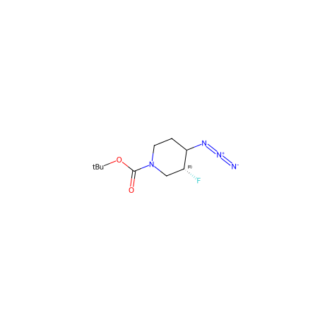 CC(C)(C)OC(=O)N1CCC(N=[N+]=[N-])[C@H](F)C1